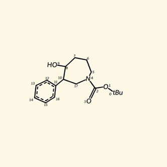 CC(C)(C)OC(=O)N1CCCC(O)C(c2ccccc2)C1